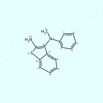 CN(c1ccccc1)c1c(N)sc2ccccc12